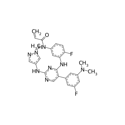 C=CC(=O)Nc1ccc(F)c(Nc2nc(Nc3cnn(C)c3)ncc2-c2cc(F)cc(N(C)C)c2)c1